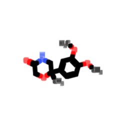 COc1ccc(C2(C)CNC(=O)CO2)cc1OC